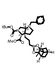 COC(=O)[C@H]1N(C(=O)OC(C)(C)C)C[C@@H]2N(Cc3ccccc3)CC[C@@]21CCCB1O[C@@H]2C[C@@H]3C[C@@H](C3(C)C)[C@]2(C)O1